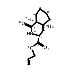 C=CCOC(=O)[C@@H]1C[C@@H]2CCCC[C@@H]2C(=O)N1